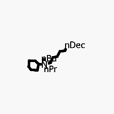 CCCCCCCCCCCCCCC[N+](CCC)(CCCC)C1CCCCC1